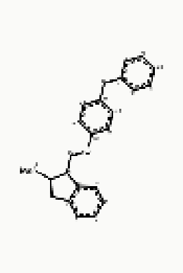 CNC1Cc2ccccc2C1COc1ccc(Cc2ccccc2)cc1